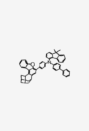 CC1(C)c2ccccc2-c2c(N(c3ccc(-c4ccccc4)cc3)c3ccc(-c4cc5c(c6c4oc4ccccc46)C4CC6CC7CC5CC764)cc3)cccc21